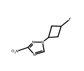 O=[N+]([O-])c1ncn(C2CC(F)C2)n1